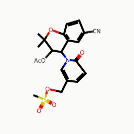 CC(=O)OC1C(n2cc(COS(C)(=O)=O)ccc2=O)c2cc(C#N)ccc2OC1(C)C